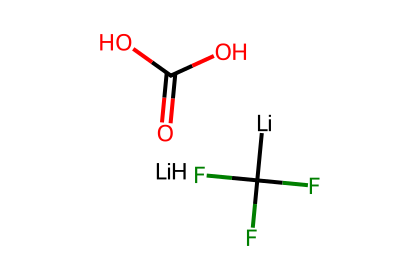 O=C(O)O.[LiH].[Li][C](F)(F)F